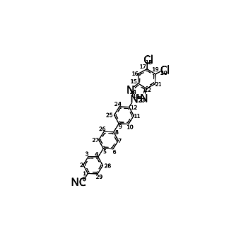 N#Cc1ccc(-c2ccc(-c3ccc(-n4nc5cc(Cl)c(Cl)cc5n4)cc3)cc2)cc1